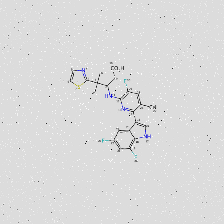 CC(C)(c1nccs1)C(CC(=O)O)Nc1nc(-c2c[nH]c3c(F)cc(F)cc23)c(C#N)cc1F